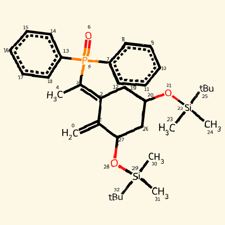 C=C1/C(=C(\C)P(=O)(c2ccccc2)c2ccccc2)CC(O[Si](C)(C)C(C)(C)C)CC1O[Si](C)(C)C(C)(C)C